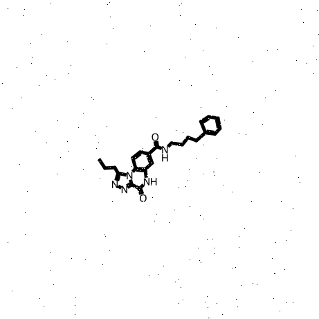 CCCc1nnc2c(=O)[nH]c3cc(C(=O)NCCCCc4ccccc4)ccc3n12